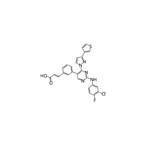 O=C(O)C=Cc1cccc(-c2cnc(Nc3ccc(F)c(Cl)c3)nc2-n2ccc(-c3ccsc3)n2)c1